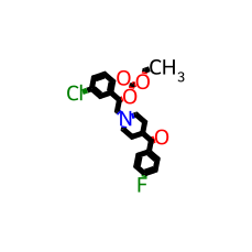 CCOC(=O)OC(CN1CCC(C(=O)c2ccc(F)cc2)CC1)c1cccc(Cl)c1